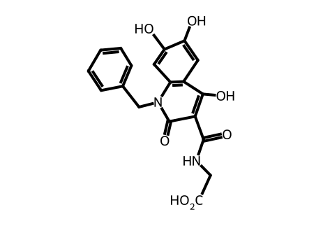 O=C(O)CNC(=O)c1c(O)c2cc(O)c(O)cc2n(Cc2ccccc2)c1=O